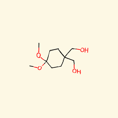 COC1(OC)CCC(CO)(CO)CC1